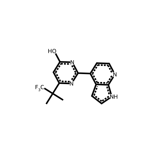 CC(C)(c1cc(O)nc(-c2ccnc3[nH]ccc23)n1)C(F)(F)F